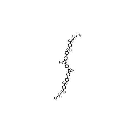 C#CC1(OC(=O)c2ccc(C(=O)OC3(C#C)CCC(c4ccc(OC(=O)C5CCC(C(=O)OCOC(=O)C=C)CC5)cc4)CC3)cc2)CCC(c2ccc(OC(=O)C3CCC(C(=O)OCOC(=O)C=C)CC3)cc2)CC1